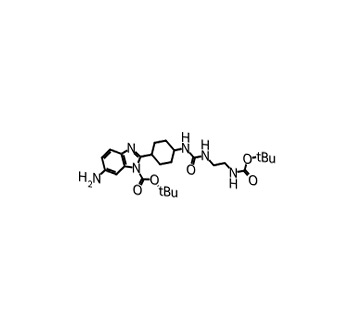 CC(C)(C)OC(=O)NCCNC(=O)NC1CCC(c2nc3ccc(N)cc3n2C(=O)OC(C)(C)C)CC1